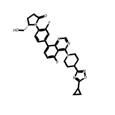 O=C1CC[C@@H](CO)N1c1ccc(-c2ccc(F)c3c(N4CCC(c5noc(C6CC6)n5)CC4)ncnc23)cc1F